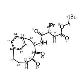 CC(C)C(NC(=O)OCC(C)(C)C)C(=O)NC1Cc2ccc(cc2)CCNC(=O)C1=O